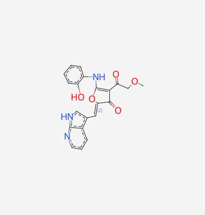 COCC(=O)C1=C(Nc2ccccc2O)O/C(=C\c2c[nH]c3ncccc23)C1=O